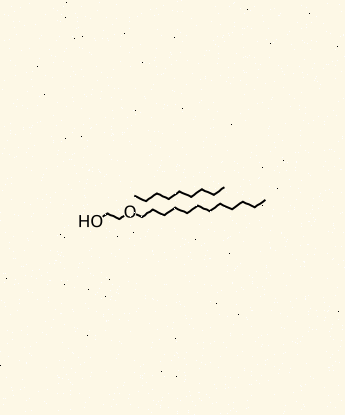 CCCCCCCCC.CCCCCCCCCCCCOCCO